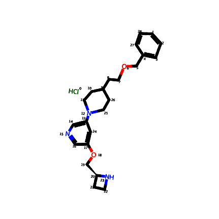 Cl.c1ccc(COCCC2CCN(c3cncc(OC[C@@H]4CCN4)c3)CC2)cc1